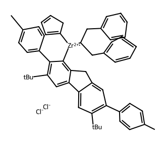 Cc1ccc(-c2cc3c(cc2C(C)(C)C)-c2cc(C(C)(C)C)c(-c4ccc(C)cc4)[c]([Zr+2]([C]4=CC=CC4)=[C](Cc4ccccc4)Cc4ccccc4)c2C3)cc1.[Cl-].[Cl-]